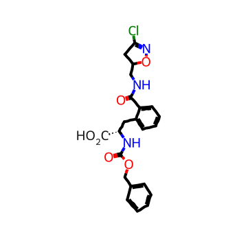 O=C(N[C@@H](Cc1ccccc1C(=O)NCC1CC(Cl)=NO1)C(=O)O)OCc1ccccc1